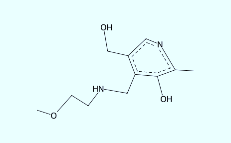 COCCNCc1c(CO)cnc(C)c1O